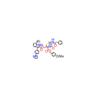 COc1ccc(COC(=O)C2=C(COC(=O)c3[nH]c4c(C(C)C)cccc4c3-c3ccc(-n4cccn4)cc3)CS[C@@H]3[C@H](NC(=O)Cc4ccccc4)C(=O)N23)cc1